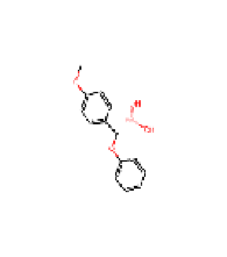 COc1ccc(COc2ccccc2)cc1.OBO